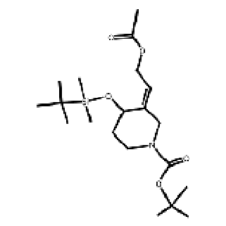 CC(=O)OC/C=C1/CN(C(=O)OC(C)(C)C)CCC1O[Si](C)(C)C(C)(C)C